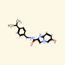 CC(C)c1ccc(CNC(=O)c2cn3cc(Br)ccc3n2)cc1